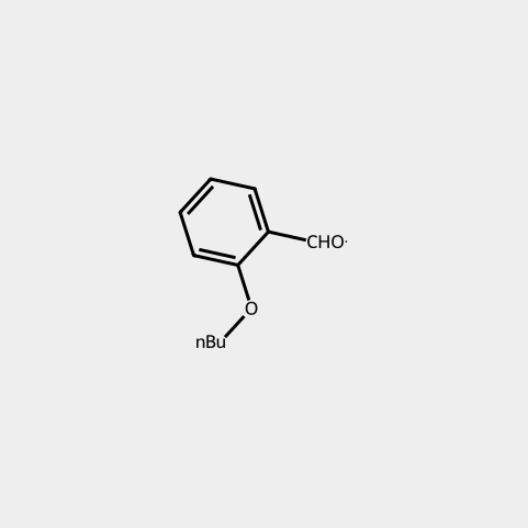 CCCCOc1ccccc1[C]=O